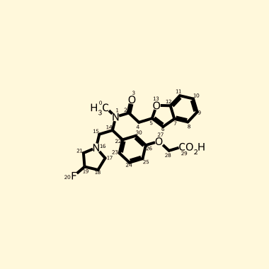 CN(C(=O)Cc1cc2ccccc2o1)C(CN1CCC(F)C1)c1cccc(OCC(=O)O)c1